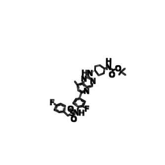 Cc1cc(-c2ccc(NS(=O)(=O)Cc3ccc(F)cc3)c(F)c2)nc2cnc(N[C@H]3CC[C@H](NC(=O)OC(C)(C)C)CC3)nc12